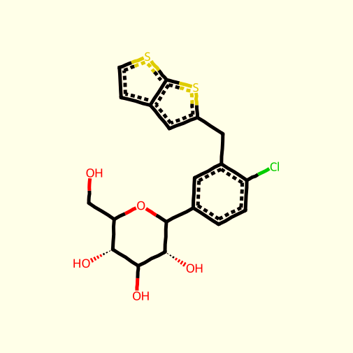 OCC1OC(c2ccc(Cl)c(Cc3cc4ccsc4s3)c2)[C@H](O)C(O)[C@@H]1O